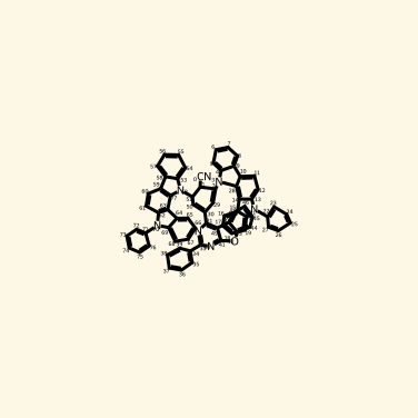 N#CC1C(n2c3ccccc3c3ccc4c(c5ccccc5n4-c4ccccc4)c32)=CC(c2nc(-c3ccccc3)nc3oc4ccccc4c23)=CC1n1c2ccccc2c2ccc3c(c4ccccc4n3-c3ccccc3)c21